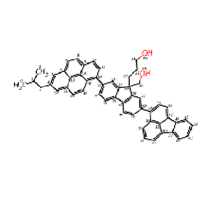 CC(C)Cc1cc2ccc3ccc(-c4ccc5c(c4)C(CO)(CCCO)c4cc(-c6ccc7c8c(cccc68)-c6ccccc6-7)ccc4-5)c4ccc(c1)c2c34